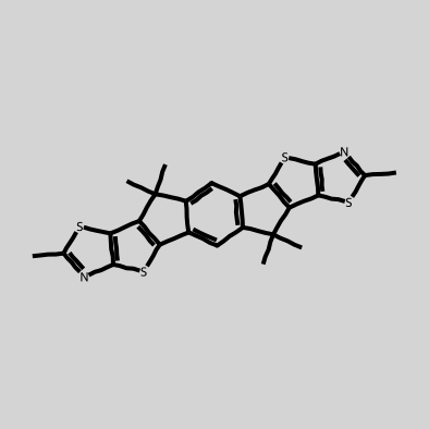 Cc1nc2sc3c(c2s1)C(C)(C)c1cc2c(cc1-3)C(C)(C)c1c-2sc2nc(C)sc12